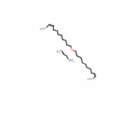 CCCCCCCC/C=C\CCCCCCCCOCCCCCCCC/C=C\CCCCCCCC.[SiH3]CC[SiH3]